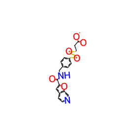 COC(=O)CCS(=O)(=O)c1ccc(CNC(=O)c2cc3ccncc3o2)cc1